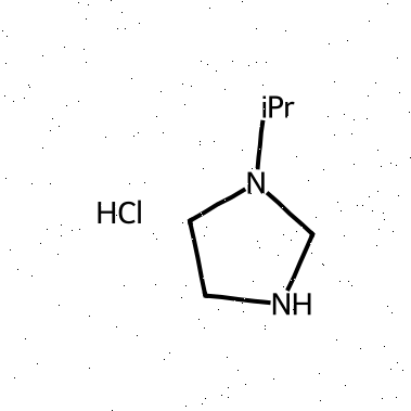 CC(C)N1CCNC1.Cl